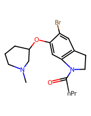 CCCC(=O)N1CCc2cc(Br)c(OC3CCCN(C)C3)cc21